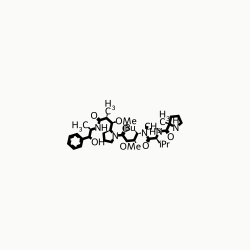 CC[C@H](C)[C@@H]([C@@H](CC(=O)N1CCC[C@H]1[C@H](OC)[C@@H](C)C(=O)N[C@H](C)C(O)c1ccccc1)OC)N(C)C(=O)[C@@H](NC(=O)[C@]1(C)CCCN1)C(C)C